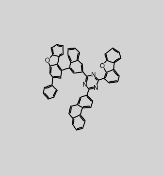 c1ccc(-c2cc(-c3cc(-c4nc(-c5ccc6c(ccc7ccccc76)c5)nc(-c5cccc6c5oc5ccccc56)n4)cc4ccccc34)c3c(c2)oc2ccccc23)cc1